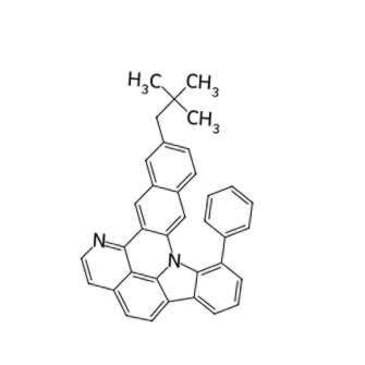 CC(C)(C)Cc1ccc2cc3c(cc2c1)c1nccc2ccc4c5cccc(-c6ccccc6)c5n3c4c21